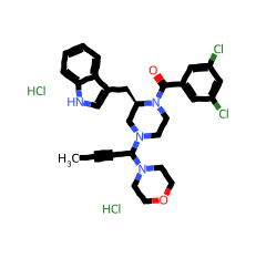 CC#CC(N1CCOCC1)N1CCN(C(=O)c2cc(Cl)cc(Cl)c2)[C@H](Cc2c[nH]c3ccccc23)C1.Cl.Cl